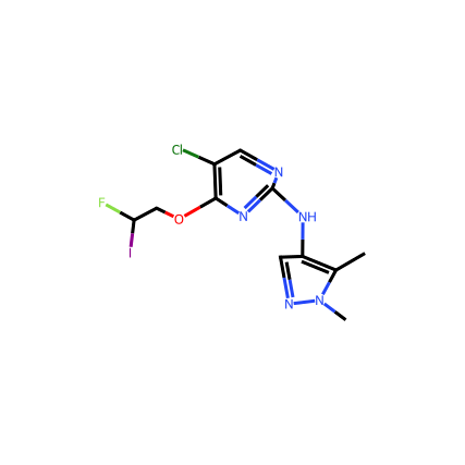 Cc1c(Nc2ncc(Cl)c(OCC(F)I)n2)cnn1C